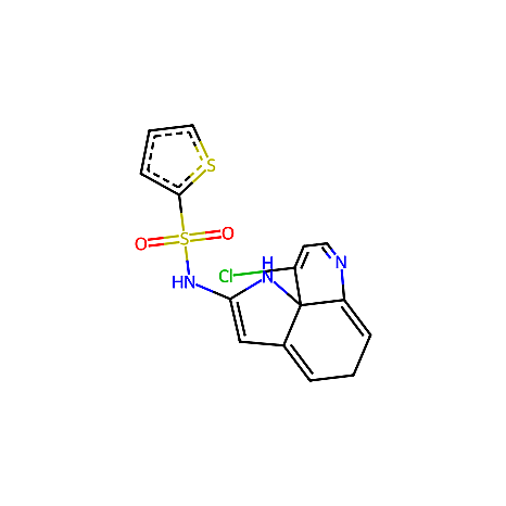 O=S(=O)(NC1=CC2=CCC=C3N=CC=C(Cl)C23N1)c1cccs1